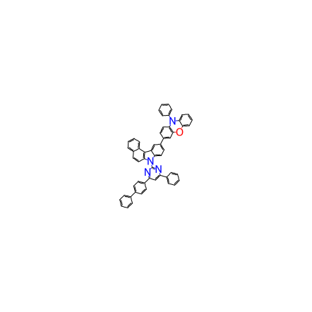 c1ccc(-c2ccc(-c3cc(-c4ccccc4)nc(-n4c5ccc(-c6ccc7c(c6)Oc6ccccc6N7c6ccccc6)cc5c5c6ccccc6ccc54)n3)cc2)cc1